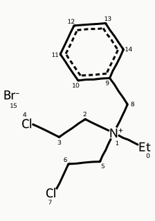 CC[N+](CCCl)(CCCl)Cc1ccccc1.[Br-]